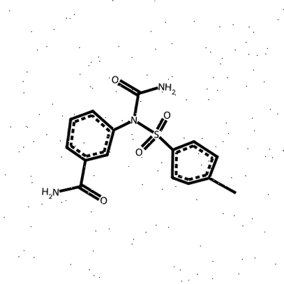 Cc1ccc(S(=O)(=O)N(C(N)=O)c2cccc(C(N)=O)c2)cc1